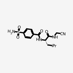 CC(C)C[C@H](NC(=O)c1ccc(S(N)(=O)=O)cc1)C(=O)NCC#N